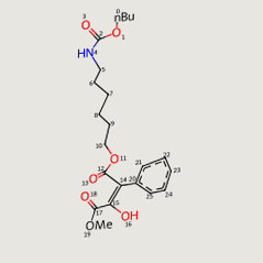 CCCCOC(=O)NCCCCCCOC(=O)C(=C(O)C(=O)OC)c1ccccc1